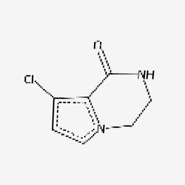 O=C1NCCn2ccc(Cl)c21